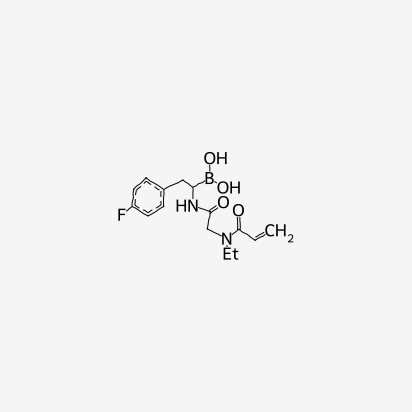 C=CC(=O)N(CC)CC(=O)NC(Cc1ccc(F)cc1)B(O)O